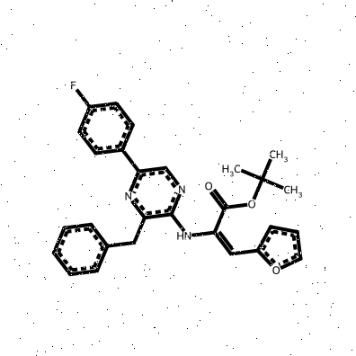 CC(C)(C)OC(=O)C(=Cc1ccco1)Nc1ncc(-c2ccc(F)cc2)nc1Cc1ccccc1